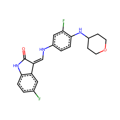 O=C1Nc2ccc(F)cc2C1=CNc1ccc(NC2CCOCC2)c(F)c1